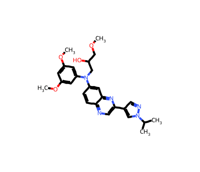 COCC(O)CN(c1cc(OC)cc(OC)c1)c1ccc2ncc(-c3cnn(C(C)C)c3)nc2c1